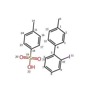 Cc1ccc(-c2ccccc2I)cc1.Cc1ccc(S(=O)(=O)O)cc1